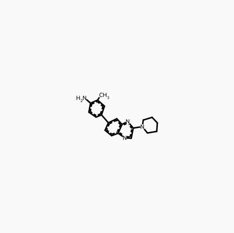 Cc1cc(-c2ccc3ncc(N4CCCCC4)nc3c2)ccc1N